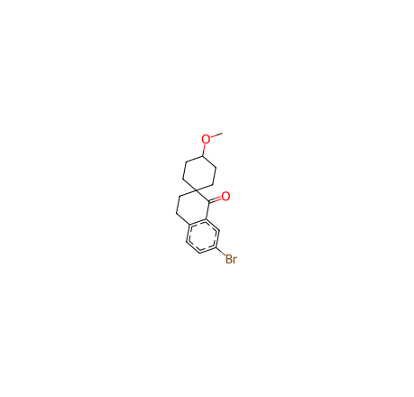 COC1CCC2(CCc3ccc(Br)cc3C2=O)CC1